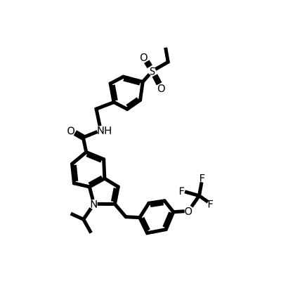 CCS(=O)(=O)c1ccc(CNC(=O)c2ccc3c(c2)cc(Cc2ccc(OC(F)(F)F)cc2)n3C(C)C)cc1